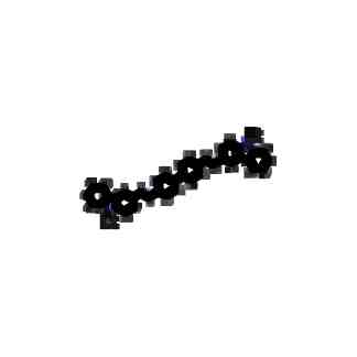 CCn1c2c(c3cc(/C=C/c4ccc(-c5ccc(/C=C/c6ccc7c(c6)c6ccccc6n7CC)cc5)cc4)ccc31)C=CCC2